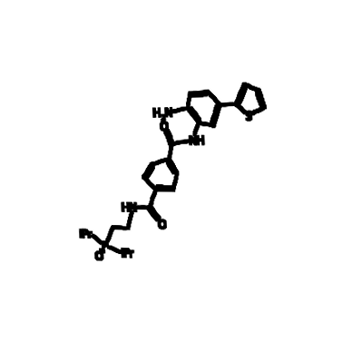 CC(C)P(=O)(CCNC(=O)c1ccc(C(=O)Nc2cc(-c3cccs3)ccc2N)cc1)C(C)C